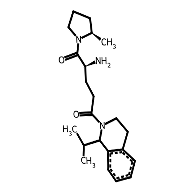 CC(C)C1c2ccccc2CCN1C(=O)CC[C@H](N)C(=O)N1CCC[C@H]1C